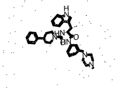 C[C@@H](c1c[nH]c2ccccc12)[C@@H](NC(=O)N1CCC(c2ccccc2)CC1)C(=O)Nc1cccc(CN2CCN(C)CC2)c1